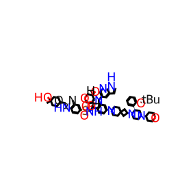 CC1(O)CCC(CNc2ccc(S(=O)(=O)NC(=O)c3ccc(N4CCC5(CC4)CC(N4CCN(C6CCOCC6)C[C@H]4c4ccccc4OC(C)(C)C)C5)cc3N3c4cc5cc[nH]c5nc4O[C@H]4COCC[C@@H]43)cc2[N+](=O)[O-])CC1